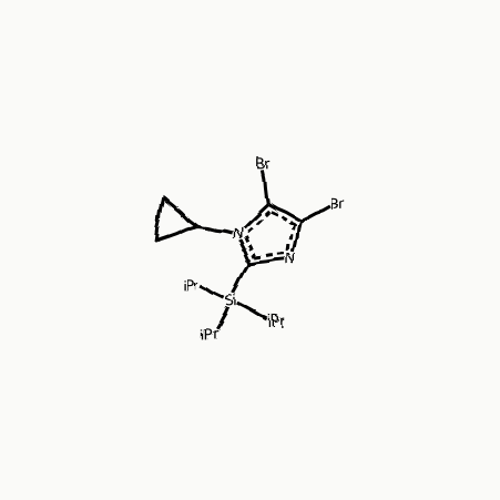 CC(C)[Si](c1nc(Br)c(Br)n1C1CC1)(C(C)C)C(C)C